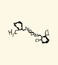 Cc1ccccc1CNCCNCc1c(Cl)cccc1Cl